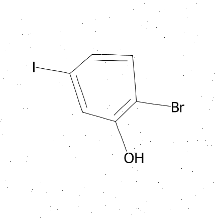 Oc1cc(I)ccc1Br